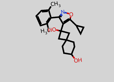 Cc1cccc(C)c1-c1noc(C2CC2)c1C1(O)CC2(CCC(O)CC2)C1